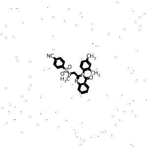 Cc1ccc(-n2c(CN(C)S(=O)(=O)c3ccc(C#N)cc3)nc3ccccc3c2=O)c(C)c1